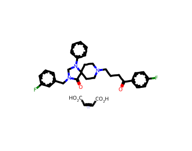 O=C(CCCN1CCC2(CC1)C(=O)N(Cc1cccc(F)c1)CN2c1ccccc1)c1ccc(F)cc1.O=C(O)/C=C\C(=O)O